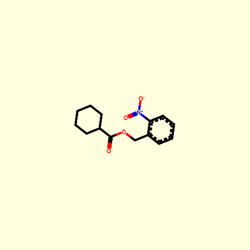 O=C(OCc1ccccc1[N+](=O)[O-])[C]1CCCCC1